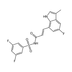 Cc1c[nH]c2c(C=CC(=O)NS(=O)(=O)c3cc(F)cc(F)c3)cc(F)cc12